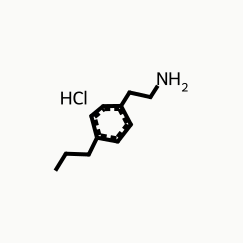 CCCc1ccc(CCN)cc1.Cl